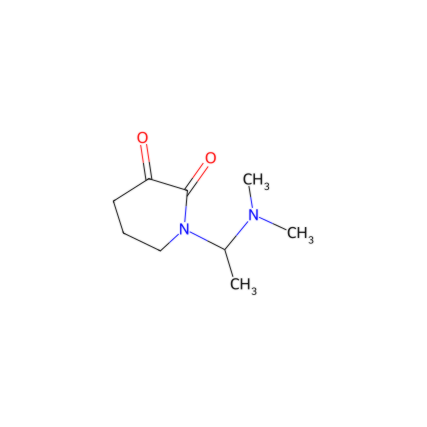 CC(N(C)C)N1CCCC(=O)C1=O